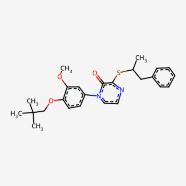 COc1cc(-n2ccnc(SC(C)Cc3ccccc3)c2=O)ccc1OCC(C)(C)C